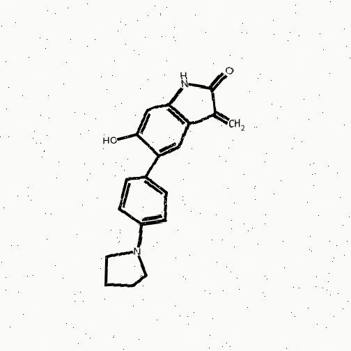 C=C1C(=O)Nc2cc(O)c(-c3ccc(N4CCCC4)cc3)cc21